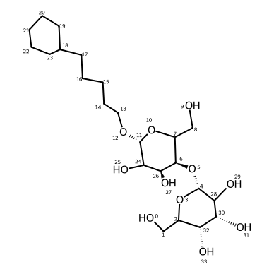 OCC1O[C@H](O[C@@H]2C(CO)O[C@@H](OCCCCCC3CCCCC3)C(O)[C@@H]2O)C(O)[C@H](O)[C@@H]1O